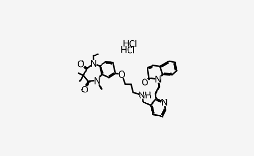 CCN1C(=O)C(C)(C)C(=O)N(C)c2cc(OCCCNCc3cccnc3CCn3c(=O)ccc4ccccc43)ccc21.Cl.Cl